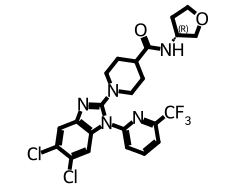 O=C(N[C@@H]1CCOC1)C1CCN(c2nc3cc(Cl)c(Cl)cc3n2-c2cccc(C(F)(F)F)n2)CC1